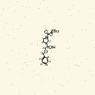 CC(C)(C)OC(=O)N1CCC([C@H](O)COCc2ccccc2)C1